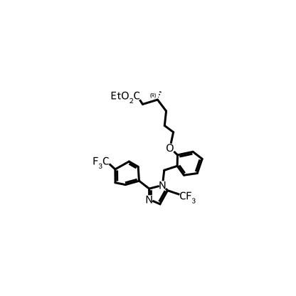 CCOC(=O)C[C@H](C)CCCOc1ccccc1Cn1c(C(F)(F)F)cnc1-c1ccc(C(F)(F)F)cc1